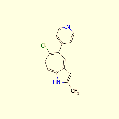 FC(F)(F)c1cc2c([nH]1)=CCC(Cl)=C(c1ccncc1)C=2